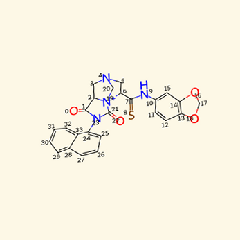 O=C1C2CN3CC(C(=S)Nc4ccc5c(c4)OCO5)[N+]2(C3)C(=O)N1c1cccc2ccccc12